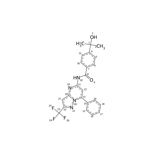 CC(C)(O)c1ccc(C(=O)Nc2cc(-c3ccccc3)n3nc(C(F)(F)F)cc3n2)cc1